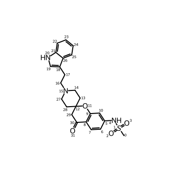 CS(=O)(=O)Nc1ccc2c(c1)OC1(CCN(CCc3c[nH]c4ccccc34)CC1)CC2=O